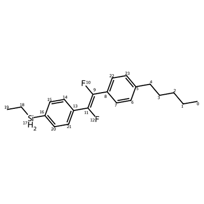 CCCCCc1ccc(/C(F)=C(\F)c2ccc([SiH2]CC)cc2)cc1